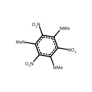 CNc1c([N+](=O)[O-])c(NC)c([N+](=O)[O-])c(NC)c1[N+](=O)[O-]